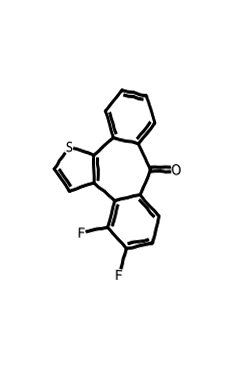 O=c1c2ccccc2c2sccc2c2c(F)c(F)ccc12